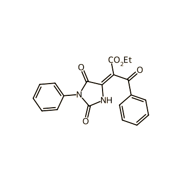 CCOC(=O)C(C(=O)c1ccccc1)=C1NC(=O)N(c2ccccc2)C1=O